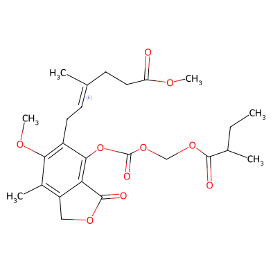 CCC(C)C(=O)OCOC(=O)Oc1c(C/C=C(\C)CCC(=O)OC)c(OC)c(C)c2c1C(=O)OC2